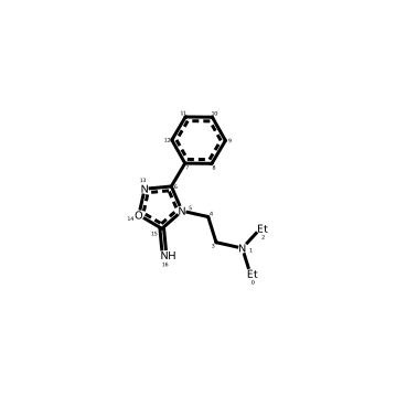 CCN(CC)CCn1c(-c2ccccc2)noc1=N